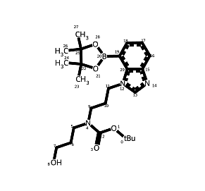 CC(C)(C)OC(=O)N(CCCO)CCCn1cnc2cccc(B3OC(C)(C)C(C)(C)O3)c21